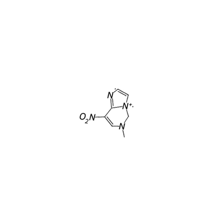 CN1C=C([N+](=O)[O-])C2=N[C]=C[N+]2C1